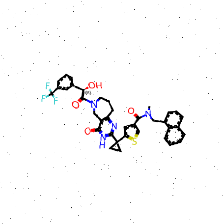 CN(Cc1cccc2ccccc12)C(=O)c1csc(C2(c3nc4c(c(=O)[nH]3)CN(C(=O)[C@H](O)c3cccc(C(F)(F)F)c3)CCC4)CC2)c1